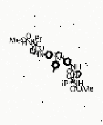 COC(=O)N[C@H](C(=O)N1CCC[C@H]1C(=O)Nc1ccc([C@@H]2CC[C@@H](c3ccc(NC(=O)[C@@H]4CCCN4C(=O)[C@@H](NC(=O)OC)C(C)C)cc3)N2c2ccc(C)cc2)cc1)C(C)C